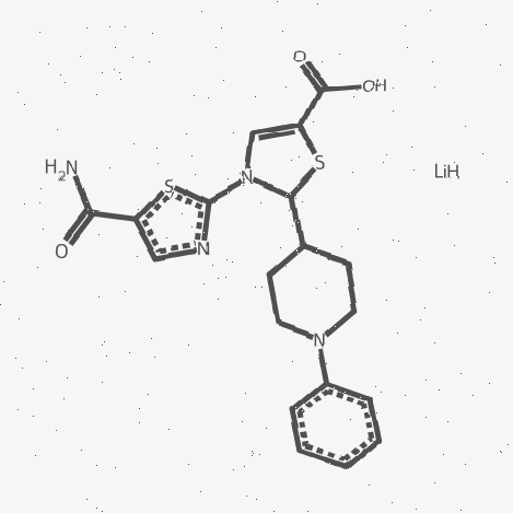 NC(=O)c1cnc(N2C=C(C(=O)O)SC2C2CCN(c3ccccc3)CC2)s1.[LiH]